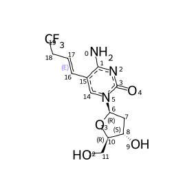 Nc1nc(=O)n([C@H]2C[C@H](O)[C@@H](CO)O2)cc1/C=C/CC(F)(F)F